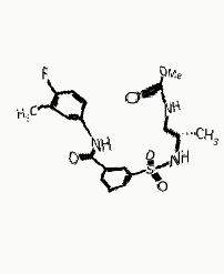 COC(=O)NC[C@H](C)NS(=O)(=O)c1cccc(C(=O)Nc2ccc(F)c(C)c2)c1